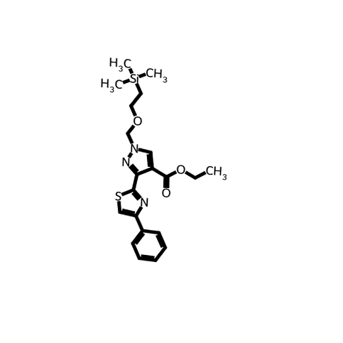 CCOC(=O)c1cn(COCC[Si](C)(C)C)nc1-c1nc(-c2ccccc2)cs1